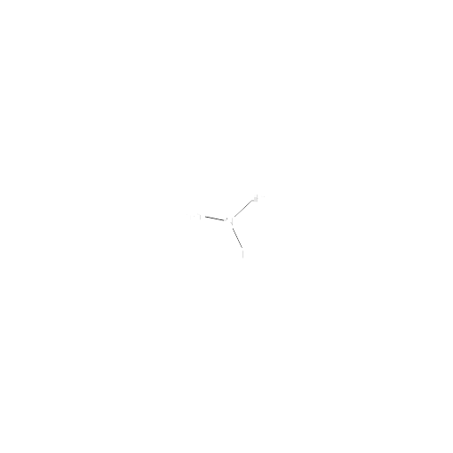 C[CH]CN(CC)C(C)C